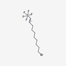 FS(F)(F)(F)(F)/C=C/CCCCCCCCBr